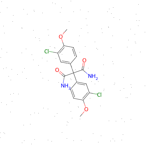 COc1ccc(C(C(N)=O)(C(N)=O)c2ccc(OC)c(Cl)c2)cc1Cl